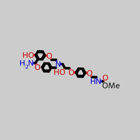 COC(=O)NCCOc1ccc(OCC(O)CN(CCOc2ccc(O)c(C(N)=O)c2)Cc2ccccc2)cc1